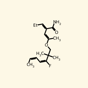 C/C=C\C=C(\F)C(C)(C)CO/C(C)=C/C(=C\CC)C(N)=O